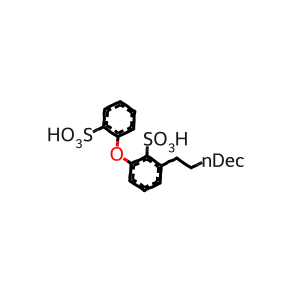 CCCCCCCCCCCCc1cccc(Oc2ccccc2S(=O)(=O)O)c1S(=O)(=O)O